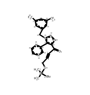 CC(C)(C)[Si](C)(C)OCC#CC(=O)c1nnn(Cc2cc(C(F)(F)F)cc(C(F)(F)F)c2)c1-c1cnccn1